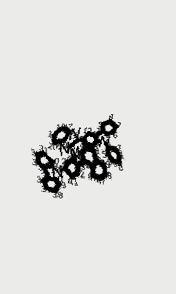 c1ccc(-n2c3ccccc3c3cc(-c4nc5ccccc5nc4-n4c5cc(-n6c7ccccc7c7ccccc76)ccc5c5c6ccccc6ccc54)ccc32)cc1